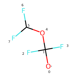 [O]C(F)(F)OC(F)F